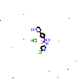 Cl.O=C(Nc1ccc(C2CCCNC2)cc1)Nc1ccc(Cl)nc1